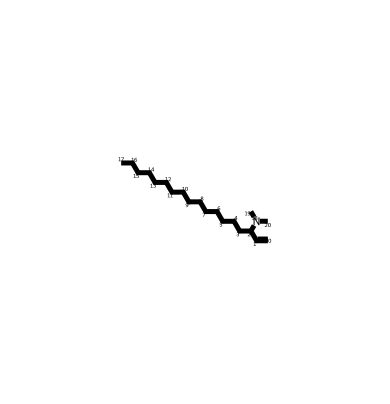 C=CC(CCCCCCCCCCCCCCC)N(C)C